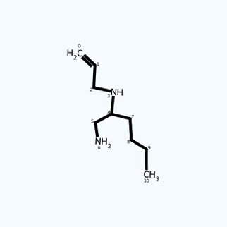 C=CCNC(CN)CCCC